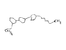 CCCCCCCC1CCC(C2CCC(C3CCCC(CCC)C3)CC2)CC1